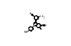 Cc1cc2c(cc1C#N)c(-c1cc(N)cc(C#N)c1)cn2[C@H]1CC[C@H](O)CC1